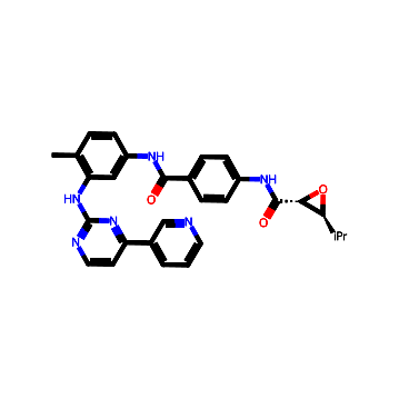 Cc1ccc(NC(=O)c2ccc(NC(=O)[C@@H]3O[C@H]3C(C)C)cc2)cc1Nc1nccc(-c2cccnc2)n1